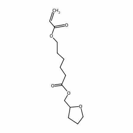 C=CC(=O)OCCCCCC(=O)OCC1CCCO1